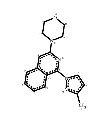 FC(F)(F)c1ccn(-c2nc(N3CCOCC3)cc3ccccc23)n1